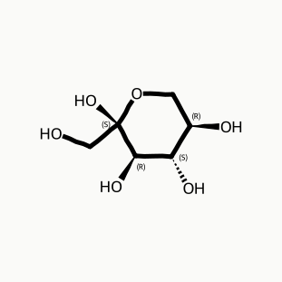 OC[C@]1(O)OC[C@@H](O)[C@H](O)[C@H]1O